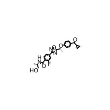 C[C@H](CO)NC(=O)c1ccc(-c2noc([C@@H](C)Oc3ccc(C(=O)C4CC4)cc3)n2)cc1F